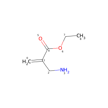 C=C(CN)C(=O)OCC